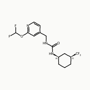 O=C(NCc1ccnc(OC(F)F)c1)N[C@@H]1CCC[C@H](C(F)(F)F)C1